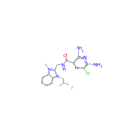 CC(C)Cn1c(CNC(=O)c2nc(Cl)c(N)nc2N)[n+](C)c2ccccc21.[I-]